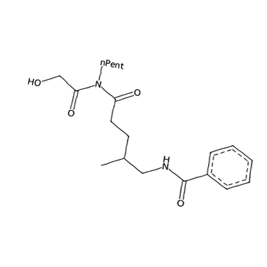 CCCCCN(C(=O)CO)C(=O)CCC(C)CNC(=O)c1ccccc1